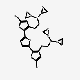 Brc1cc(CCN(B2CO2)B2CO2)c(-c2ccc(-c3sc(Br)cc3CCN(B3CO3)B3CO3)s2)s1